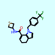 O=C(NC1CSC1)C1=CCCc2ccn(Cc3ccc(C(F)(F)F)cc3)c21